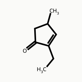 CCC1=CC(C)CC1=O